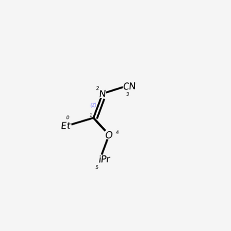 CC/C(=N/C#N)OC(C)C